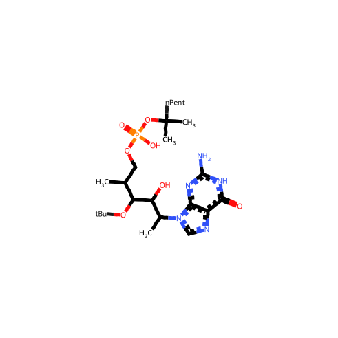 CCCCCC(C)(C)OP(=O)(O)OCC(C)C(OC(C)(C)C)C(O)C(C)n1cnc2c(=O)[nH]c(N)nc21